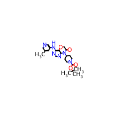 Cc1cncc(Nc2ncnc3c2OCC(=O)N3C2CCN(C(=O)OC(C)(C)C)CC2)c1